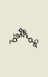 CCOC(=O)c1ccc(CSc2nc(NCc3ccc(F)cc3)c3cccn3n2)cc1